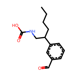 CCCCC(CNC(=O)O)c1cccc(C=O)c1